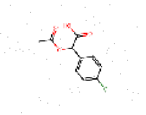 CC(=O)OC(C(=O)O)c1ccc(Cl)cc1